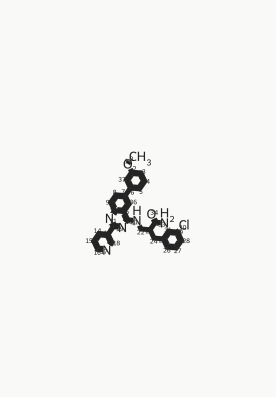 COc1cccc(-c2ccc3nc(-c4cccnc4)nc(NCC(Cc4cccc(Cl)c4)C(N)=O)c3c2)c1